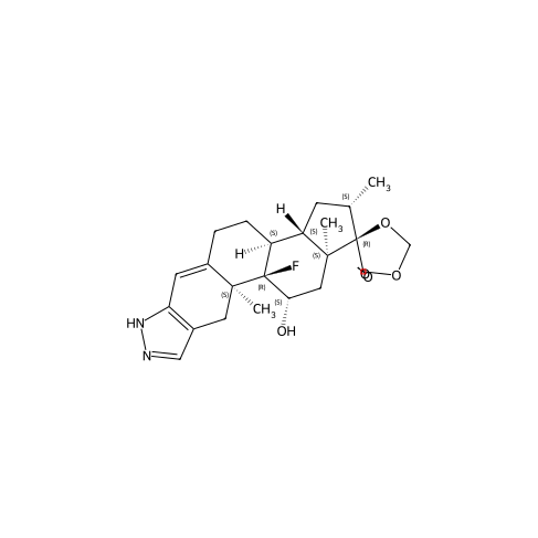 C[C@H]1C[C@H]2[C@@H]3CCC4=Cc5[nH]ncc5C[C@]4(C)[C@@]3(F)[C@@H](O)C[C@]2(C)[C@]12OCOC21COCO1